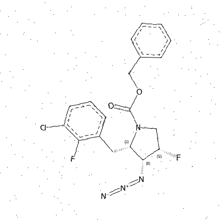 [N-]=[N+]=N[C@H]1[C@@H](F)CN(C(=O)OCc2ccccc2)[C@H]1Cc1cccc(Cl)c1F